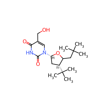 CC(C)(C)CC1O[C@@H](n2cc(CO)c(=O)[nH]c2=O)C[C@H]1C(C)(C)C